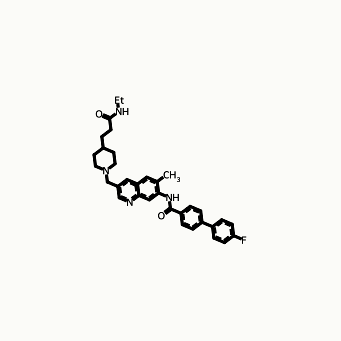 CCNC(=O)CCC1CCN(Cc2cnc3cc(NC(=O)c4ccc(-c5ccc(F)cc5)cc4)c(C)cc3c2)CC1